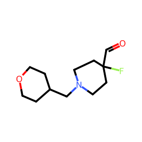 O=CC1(F)CCN(CC2CCOCC2)CC1